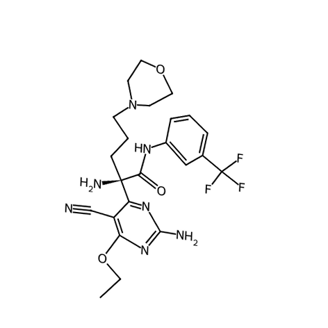 CCOc1nc(N)nc([C@](N)(CCCN2CCOCC2)C(=O)Nc2cccc(C(F)(F)F)c2)c1C#N